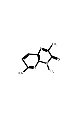 Cc1nc2ccc(N)nc2n(C)c1=O